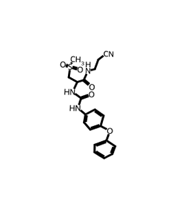 CS(=O)(=O)CC(NC(=O)Nc1ccc(Oc2ccccc2)cc1)C(=O)NCCC#N